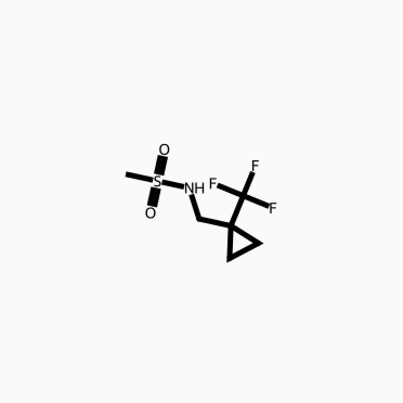 CS(=O)(=O)NCC1(C(F)(F)F)CC1